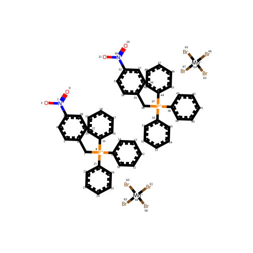 O=[N+]([O-])c1ccc(C[P+](c2ccccc2)(c2ccccc2)c2ccccc2)cc1.O=[N+]([O-])c1ccc(C[P+](c2ccccc2)(c2ccccc2)c2ccccc2)cc1.[Br][Mn-]([Br])([Br])[Br].[Br][Mn-]([Br])([Br])[Br]